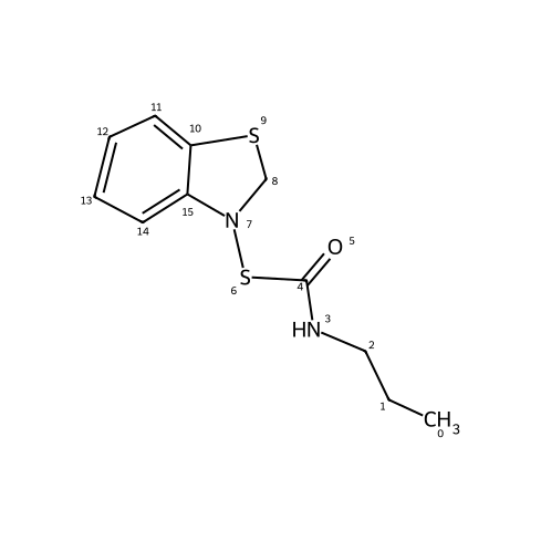 CCCNC(=O)SN1CSc2ccccc21